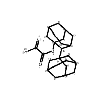 C=C(C(=O)OC12CC3CC(CC(C3)C1C13CC4CC(CC(C4)C1)C3)C2)C(C)C